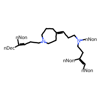 CCCCCCCCC/C=C(\CCCCCCCCC)CCN(CC/C=C1/CCCN(CC/C=C(\CCCCCCCCC)CCCCCCCCCC)CC1)CCCCCCCCC